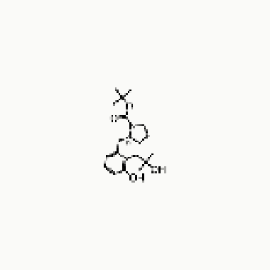 CC(C)(O)Cc1c(O)cccc1C[C@@H]1CCCN1C(=O)OC(C)(C)C